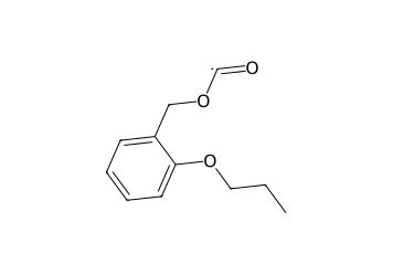 CCCOc1ccccc1CO[C]=O